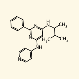 CC(C)C(C)Nc1cc(Nc2ccncc2)nc(-c2ccccc2)n1